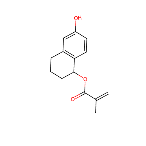 C=C(C)C(=O)OC1CCCc2cc(O)ccc21